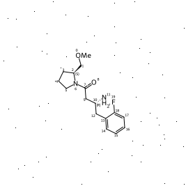 COC[C@@H]1CCCN1C(=O)C[C@H](N)Cc1ccccc1F